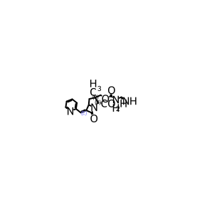 C[C@@]1(COC(=O)NC=N)CC2/C(=C\c3ccccn3)C(=O)N2[C@H]1C(=O)O